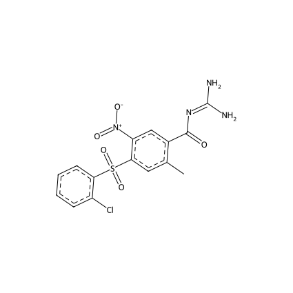 Cc1cc(S(=O)(=O)c2ccccc2Cl)c([N+](=O)[O-])cc1C(=O)N=C(N)N